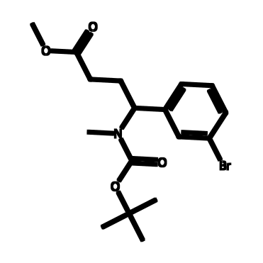 COC(=O)CCC(c1cccc(Br)c1)N(C)C(=O)OC(C)(C)C